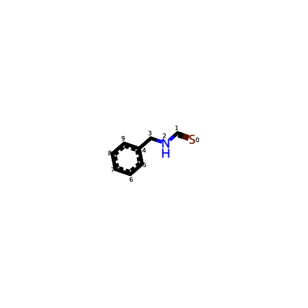 S=[C]NCc1ccccc1